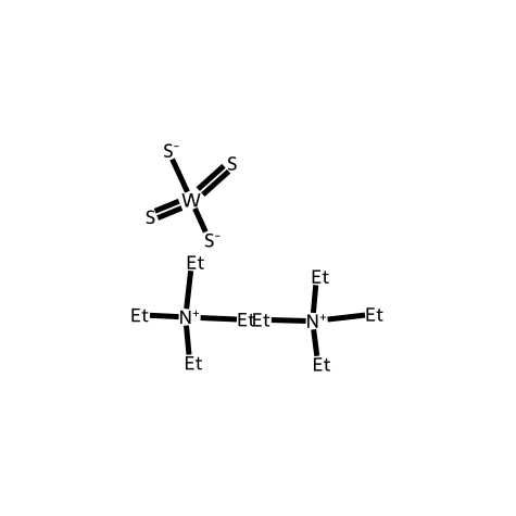 CC[N+](CC)(CC)CC.CC[N+](CC)(CC)CC.[S]=[W](=[S])([S-])[S-]